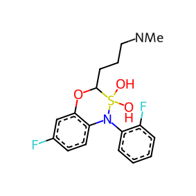 CNCCCC1Oc2cc(F)ccc2N(c2ccccc2F)S1(O)O